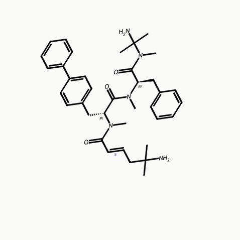 CN(C(=O)/C=C/CC(C)(C)N)[C@H](Cc1ccc(-c2ccccc2)cc1)C(=O)N(C)[C@H](Cc1ccccc1)C(=O)N(C)C(C)(C)N